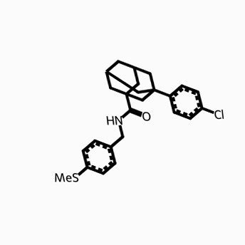 CSc1ccc(CNC(=O)C23CC4CC(C2)CC(c2ccc(Cl)cc2)(C4)C3)cc1